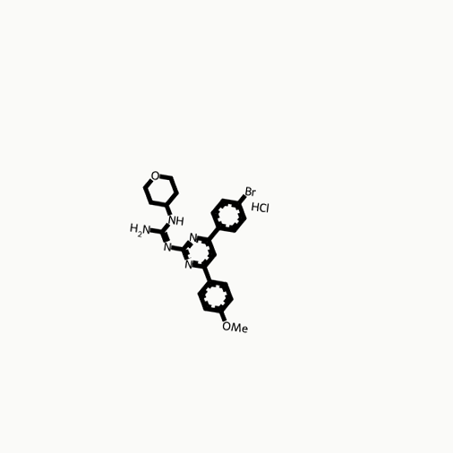 COc1ccc(-c2cc(-c3ccc(Br)cc3)nc(N=C(N)NC3CCOCC3)n2)cc1.Cl